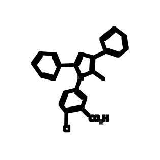 Cc1c(-c2ccccc2)cc(-c2ccccc2)n1-c1ccc(Cl)c(C(=O)O)c1